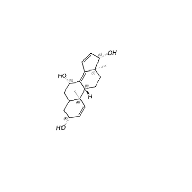 C[C@]12CC[C@H]3C(=C1C=C[C@@H]2O)[C@@H](O)CC1C[C@@H](O)C=C[C@@]13C